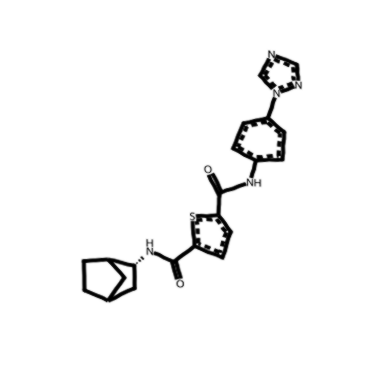 O=C(Nc1ccc(-n2cncn2)cc1)c1ccc(C(=O)N[C@@H]2CC3CCC2C3)s1